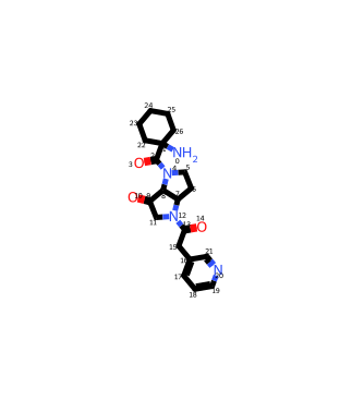 NC1(C(=O)N2CCC3C2C(=O)CN3C(=O)Cc2cccnc2)CCCCC1